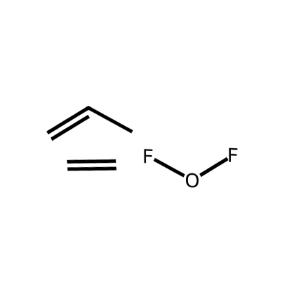 C=C.C=CC.FOF